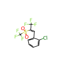 O=S(=O)(/C(=C\c1ccccc1Cl)C(F)(F)F)C(F)(F)F